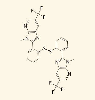 Cn1c(C2=CCCC=C2SSc2ccccc2-c2nc3cc(C(F)(F)F)cnc3n2C)nc2cc(C(F)(F)F)cnc21